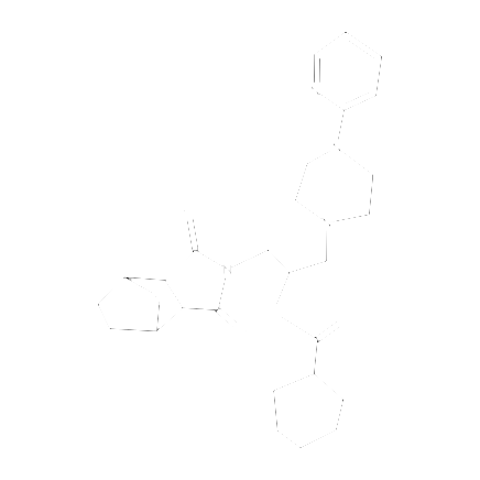 O=C(OC(CN1CCN(c2ccccn2)CC1)CN1C(=O)C2C3CCC(O3)C2C1=O)C1CCCCC1